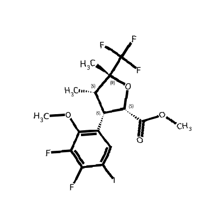 COC(=O)[C@H]1O[C@@](C)(C(F)(F)F)[C@@H](C)[C@H]1c1cc(I)c(F)c(F)c1OC